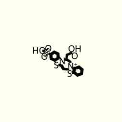 O=C(O)CC1C[n+]2c(sc3ccccc32)C=C2Sc3cc(S(=O)(=O)O)ccc3N21